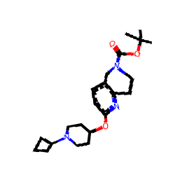 CC(C)(C)OC(=O)N1CCc2nc(OC3CCN(C4CCC4)CC3)ccc2C1